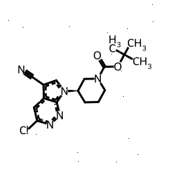 CC(C)(C)OC(=O)N1CCC[C@@H](n2cc(C#N)c3cc(Cl)nnc32)C1